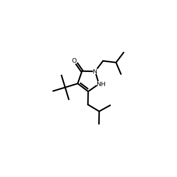 CC(C)Cc1[nH]n(CC(C)C)c(=O)c1C(C)(C)C